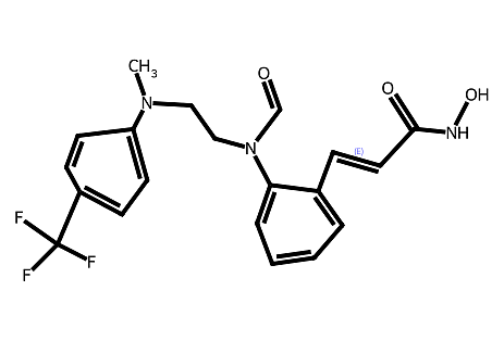 CN(CCN(C=O)c1ccccc1/C=C/C(=O)NO)c1ccc(C(F)(F)F)cc1